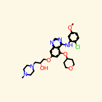 COc1ccc(Cl)c(Nc2ncnc3cc(OC[C@H](O)CN4CCN(C)CC4)cc(OC4CCOCC4)c23)c1